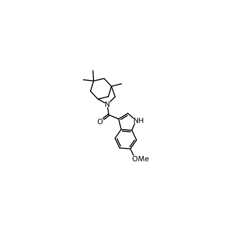 COc1ccc2c(C(=O)N3CC4(C)CC3CC(C)(C)C4)c[nH]c2c1